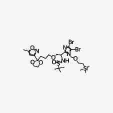 Cc1cc(C2(CCCOCC(N[S@+]([O-])C(C)(C)C)c3nc(Br)c(Br)n3COCC[Si](C)(C)C)OCCO2)no1